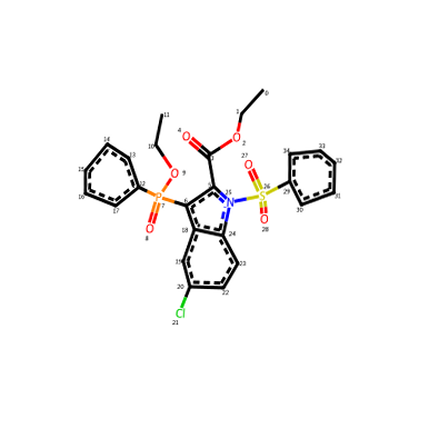 CCOC(=O)c1c(P(=O)(OCC)c2ccccc2)c2cc(Cl)ccc2n1S(=O)(=O)c1ccccc1